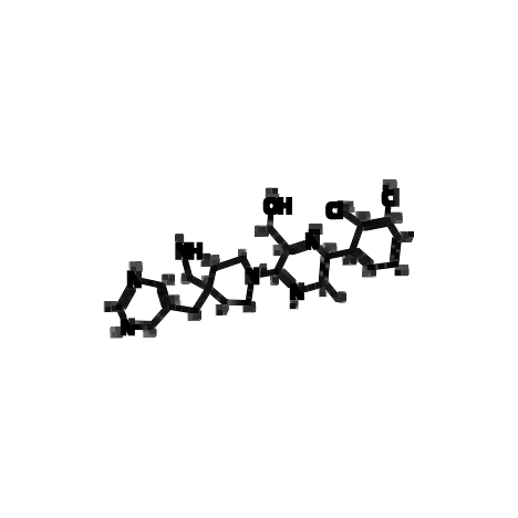 Cc1nc(N2CCC(CN)(Cc3cncnc3)CC2)c(CO)nc1-c1cccc(Cl)c1Cl